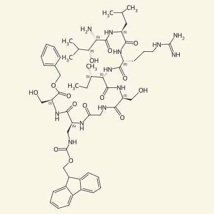 CC[C@H](C)[C@H](NC(=O)[C@@H](CCCNC(=N)N)NC(=O)[C@H](CC(C)C)NC(=O)[C@@H](N)[C@H](O)C(C)C)C(=O)N[C@@H](CO)C(=O)NCC(=O)N[C@@H](CNC(=O)OCC1c2ccccc2-c2ccccc21)C(=O)N[C@@H](CO)C(=O)OCc1ccccc1